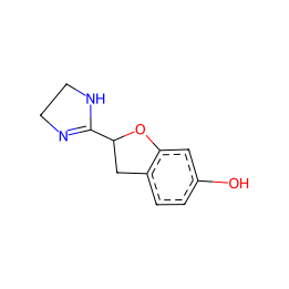 Oc1ccc2c(c1)OC(C1=NCCN1)C2